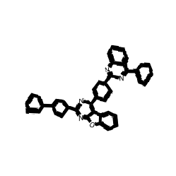 c1ccc(-c2ccc(-c3nc(-c4ccc(-c5nc(-c6ccccc6)c6ccccc6n5)cc4)c4c(n3)oc3ccccc34)cc2)cc1